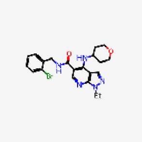 CCn1ncc2c(NC3CCOCC3)c(C(=O)NCc3ccccc3Br)cnc21